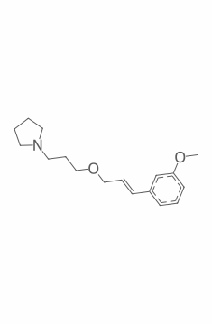 COc1cccc(C=CCOCCCN2CCCC2)c1